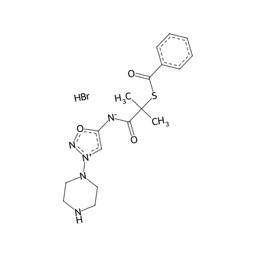 Br.CC(C)(SC(=O)c1ccccc1)C(=O)[N-]c1c[n+](N2CCNCC2)no1